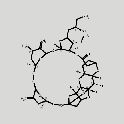 C=C1C[C@@H]2CCC34CC5O[C@H]6[C@@H](O3)[C@H]3OC(CC[C@@H]3O[C@H]6[C@H]5O4)CC(=O)C[C@H]3[C@H](CC4O[C@@H](CCC1O2)C[C@@H](C)C4=C)OC(C[C@H](O)CN)[C@@H]3OC